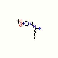 CCC/C=C/C(C#N)=N\C=C(/C)N1CCN(C(=O)OC(C)(C)C)CC1